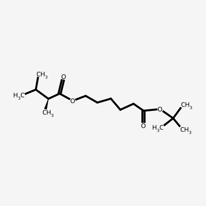 CC(C)[C@H](C)C(=O)OCCCCCC(=O)OC(C)(C)C